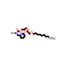 CCCCCCCCCCCCCCCCCCOCC1OCC(COC(=O)N(Cc2ccccn2)C(C)=O)O1